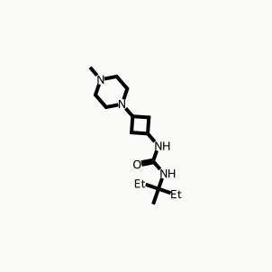 CCC(C)(CC)NC(=O)NC1CC(N2CCN(C)CC2)C1